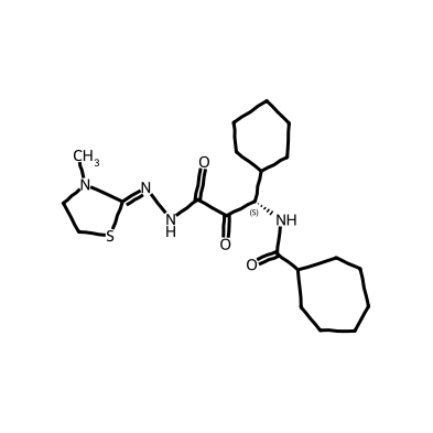 CN1CCSC1=NNC(=O)C(=O)[C@@H](NC(=O)C1CCCCCC1)C1CCCCC1